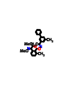 CO/N=C(/C(=O)OC)c1cccc(C)c1CO/N=C(\C)c1cc(C)cc(-c2ccccc2)c1